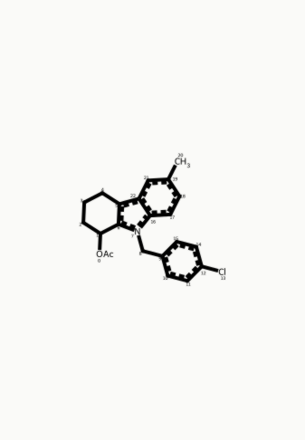 CC(=O)OC1CCCc2c1n(Cc1ccc(Cl)cc1)c1ccc(C)cc21